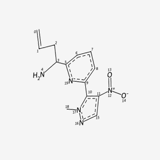 C=CCC(N)c1cccc(-c2c([N+](=O)[O-])cnn2C)n1